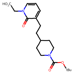 CC(C)(C)OC(=O)N1CCC(CCc2cccn(CC(=O)O)c2=O)CC1